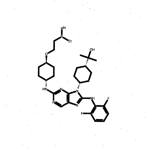 CCCN(CC)CCO[C@H]1CC[C@H](Nc2ncc3nc(Nc4c(F)cccc4F)n([C@H]4CC[C@@H](C(C)(C)O)CC4)c3n2)CC1